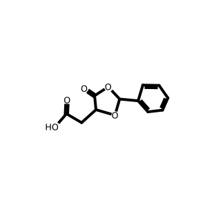 O=C(O)CC1OC(c2ccccc2)OC1=O